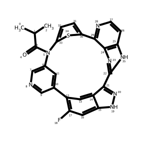 CC(C)C(=O)n1c2cncc(c2)c2cc3c(cc2F)[nH]nc3c2nc3c(ccnc3c3ccc1s3)[nH]2